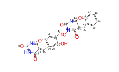 O=c1nc2oc3cc(COn4c(=O)nc5oc6ccccc6cc-5c4=O)c(O)cc3cc-2c(=O)[nH]1